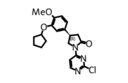 COc1ccc([C@H]2CC(=O)N(c3ccnc(Cl)n3)C2)cc1OC1CCCC1